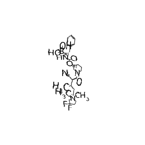 CC(CC(C)(C)N1CCC(F)(F)C1)C(C#N)C(=O)N1CCC[C@@H](OC(=O)N[C@@H](Cc2ccccc2)B(O)O)C1